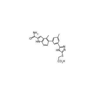 Cc1cc(-c2nnc(SCC(=O)O)[nH]2)cc(-c2ccc3[nH]c(C(N)=O)cc3c2C)c1